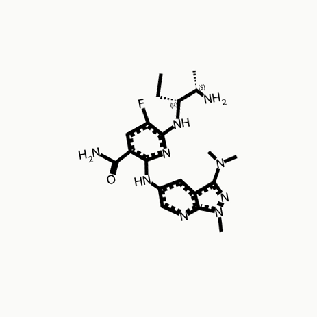 CC[C@@H](Nc1nc(Nc2cnc3c(c2)c(N(C)C)nn3C)c(C(N)=O)cc1F)[C@H](C)N